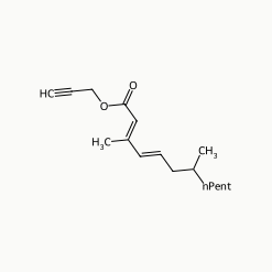 C#CCOC(=O)C=C(C)C=CCC(C)CCCCC